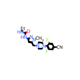 CCNC(=O)Nc1cc(CN2CCN(c3c(F)cc(C#N)cc3F)CC2)n(C)n1